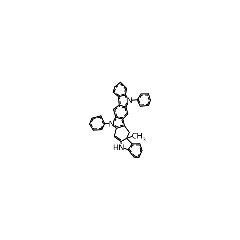 CC12Cc3c(n(-c4ccccc4)c4cc5c6ccccc6n(-c6ccccc6)c5cc34)C=C1Nc1ccccc12